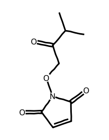 CC(C)C(=O)CON1C(=O)C=CC1=O